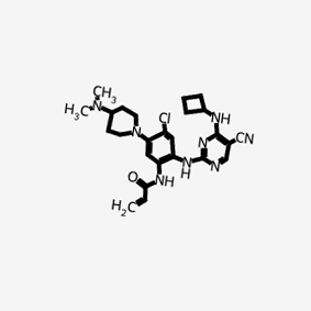 C=CC(=O)Nc1cc(N2CCC(N(C)C)CC2)c(Cl)cc1Nc1ncc(C#N)c(NC2CCC2)n1